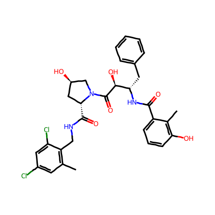 Cc1cc(Cl)cc(Cl)c1CNC(=O)[C@@H]1C[C@@H](O)CN1C(=O)[C@@H](O)[C@H](Cc1ccccc1)NC(=O)c1cccc(O)c1C